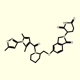 Cc1cc(-n2c(C)cc(C(=O)N3CCCCC3COc3ccc4c(c3)CN(C3CCC(=O)NC3=O)C4=O)c2C)no1